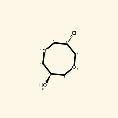 O[C@H]1COC[C@H](Cl)COC1